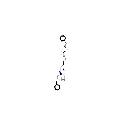 N/C(=C\N(N)CCCCc1nnc(NC(=O)Cc2ccccc2)s1)C(=O)NCc1ccccc1